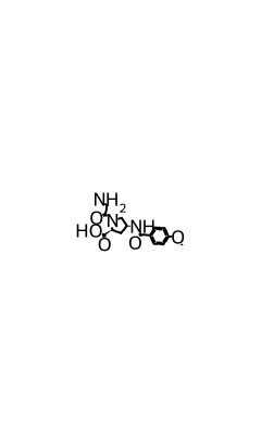 COc1ccc(C(=O)N[C@@H]2C[C@@H](C(=O)O)N(C(=O)CN)C2)cc1